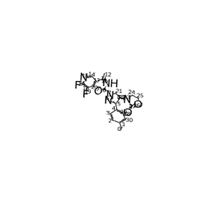 Cc1ccc(C2=NN(C(=O)NC(C)c3cnc(F)c(F)c3)C[C@H]2N2CCOC2=O)cc1